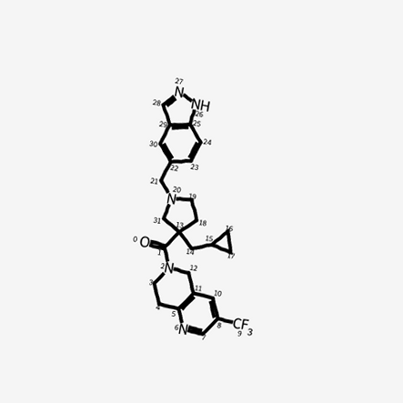 O=C(N1CCc2ncc(C(F)(F)F)cc2C1)C1(CC2CC2)CCN(Cc2ccc3[nH]ncc3c2)C1